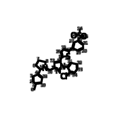 Cc1ccc(C2CCCN2Cc2cc(-c3ccc(-c4cccc(S(C)(=O)=O)c4)s3)n(-c3ccccc3Cl)n2)cc1